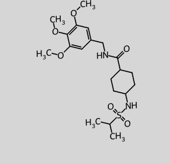 COc1cc(CNC(=O)C2CCC(NS(=O)(=O)C(C)C)CC2)cc(OC)c1OC